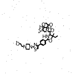 CCC(C)(C)C(NC(=O)c1ccc(-c2csc(N3CCN(CCOC)CC3)n2)cc1)C(=O)N1C[C@H](SC)[C@H]2OCC(=O)[C@H]21